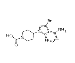 Nc1ncnc2c1c(Br)cn2C1CCN(C(=O)O)CC1